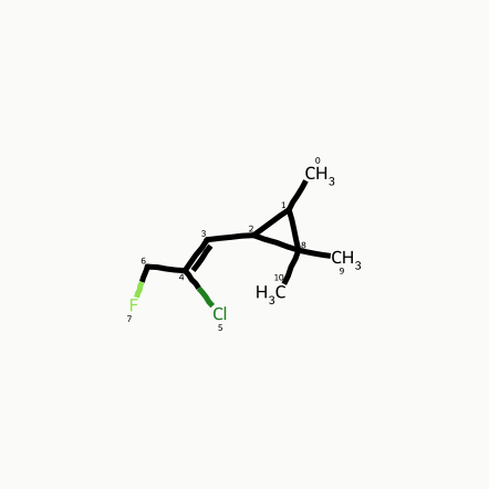 CC1C(/C=C(\Cl)CF)C1(C)C